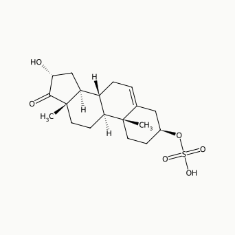 C[C@]12CC[C@H](OS(=O)(=O)O)CC1=CC[C@@H]1[C@@H]2CC[C@]2(C)C(=O)[C@H](O)C[C@@H]12